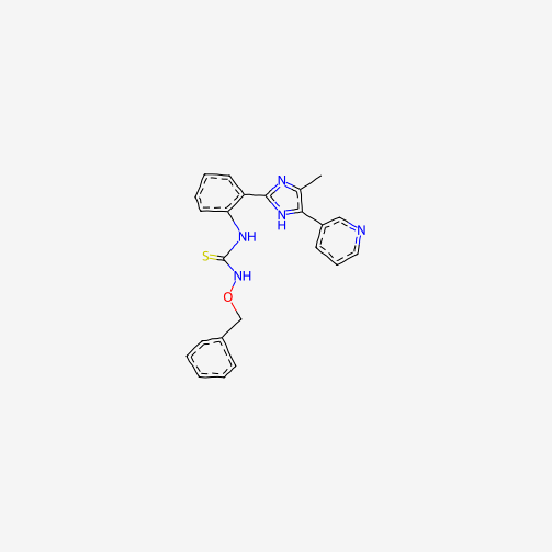 Cc1nc(-c2ccccc2NC(=S)NOCc2ccccc2)[nH]c1-c1cccnc1